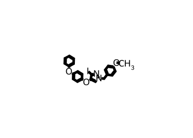 COc1ccc(Cn2cc(Oc3ccc(Oc4ccccc4)cc3)c(I)n2)cc1